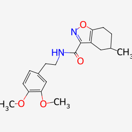 COc1ccc(CCNC(=O)c2noc3c2CC(C)CC3)cc1OC